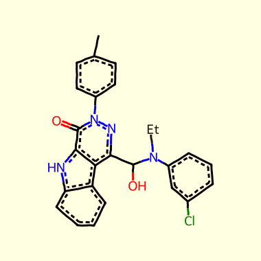 CCN(c1cccc(Cl)c1)C(O)c1nn(-c2ccc(C)cc2)c(=O)c2[nH]c3ccccc3c12